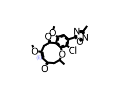 CO/C1=C/C(=O)CC(C)Oc2c(Cl)c(-c3nc(C)no3)cc(OC)c2C(=O)C1